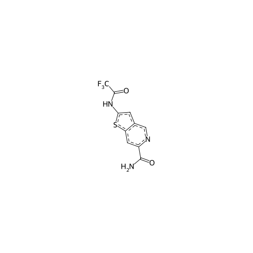 NC(=O)c1cc2sc(NC(=O)C(F)(F)F)cc2cn1